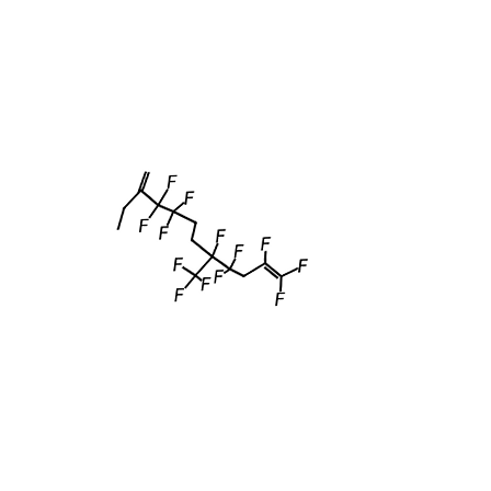 C=C(CC)C(F)(F)C(F)(F)CCC(F)(C(F)(F)F)C(F)(F)CC(F)=C(F)F